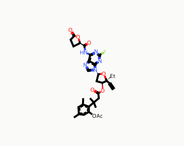 C#C[C@]1(CC)O[C@@H](n2cnc3c(NC(=O)[C@H]4CCC(=O)O4)nc(F)nc32)C[C@@H]1OC(=O)CC(C)(C)c1c(C)cc(C)cc1OC(C)=O